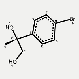 C[C@](O)(CO)c1ccc(Br)cc1